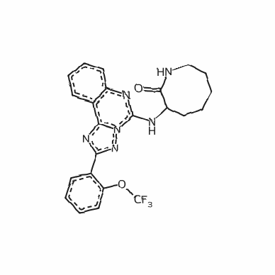 O=C1NCCCCCC1Nc1nc2ccccc2c2nc(-c3ccccc3OC(F)(F)F)nn12